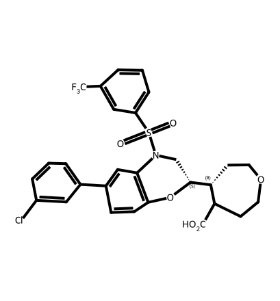 O=C(O)C1CCOCC[C@H]1[C@H]1CN(S(=O)(=O)c2cccc(C(F)(F)F)c2)c2cc(-c3cccc(Cl)c3)ccc2O1